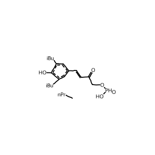 CCC(C)c1cc(/C=C/C(=O)CO[PH](=O)O)cc(C(C)CC)c1O.CCCC